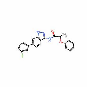 CC(Oc1ccccc1)C(=O)Nc1n[nH]c2cc(-c3cccc(F)c3)ccc12